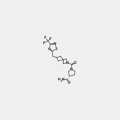 NC(=O)[C@H]1CCN(C(=O)N2CC3(CC(Cc4nc(C(F)(F)F)ns4)C3)C2)C1